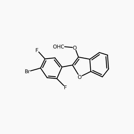 O=COc1c(-c2cc(F)c(Br)cc2F)oc2ccccc12